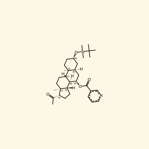 CC(=O)[C@H]1CC[C@H]2[C@@H]3[C@H](OC(=O)c4cccnc4)C[C@@H]4C[C@H](O[Si](C)(C)C(C)(C)C)CC[C@]4(C)[C@H]3CC[C@]12C